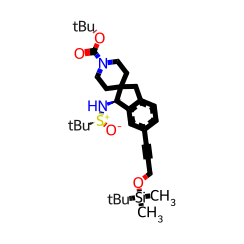 CC(C)(C)OC(=O)N1CCC2(CC1)Cc1ccc(C#CCO[Si](C)(C)C(C)(C)C)cc1[C@H]2N[S@+]([O-])C(C)(C)C